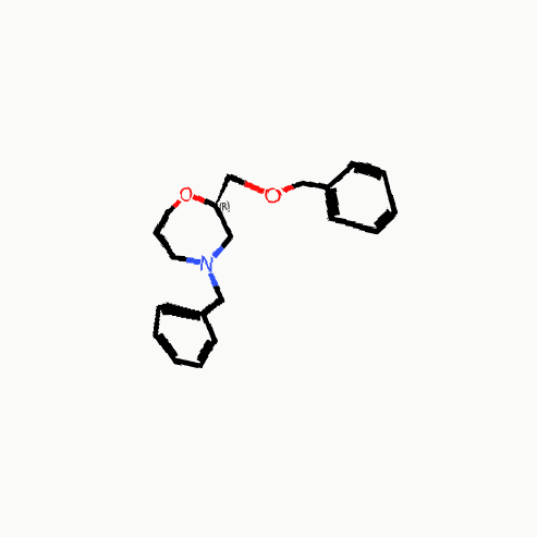 c1ccc(COC[C@H]2CN(Cc3ccccc3)CCCO2)cc1